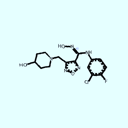 O/N=C(/Nc1ccc(F)c(Cl)c1)c1nonc1CN1CCC(O)CC1